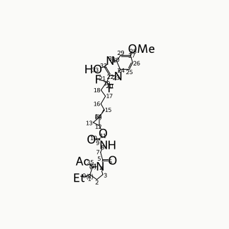 CC[C@@H]1CCN(C(=O)CNC(=O)OC2C[C@H]2CCCCC(F)(F)c2nc3ccc(OC)cc3nc2O)[C@@H]1C(C)=O